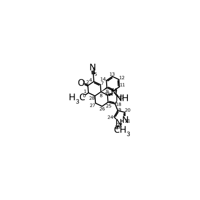 CC1C(=O)C(C#N)=C[C@]2(c3ccccc3)c3n[nH]c(-c4cnn(C)c4)c3CCC12